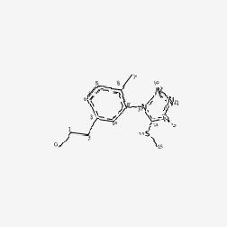 CCCc1ccc(C)c(-n2nnnc2SC)c1